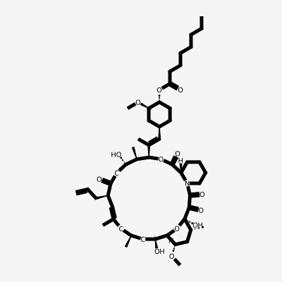 C=CC[C@@H]1/C=C(\C)C[C@H](C)C[C@H](O)[C@H]2O[C@@](O)(C(=O)C(=O)N3CCCC[C@H]3C(=O)O[C@H](/C(C)=C/[C@@H]3CC[C@@H](OC(=O)CCCCCCC)[C@H](OC)C3)[C@H](C)[C@@H](O)CC1=O)[C@H](C)C[C@@H]2OC